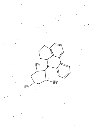 CC(C)C1CC(C(C)C)C(P(c2ccccc2-c2ccccc2)C2CCCCC2)C(C(C)C)C1